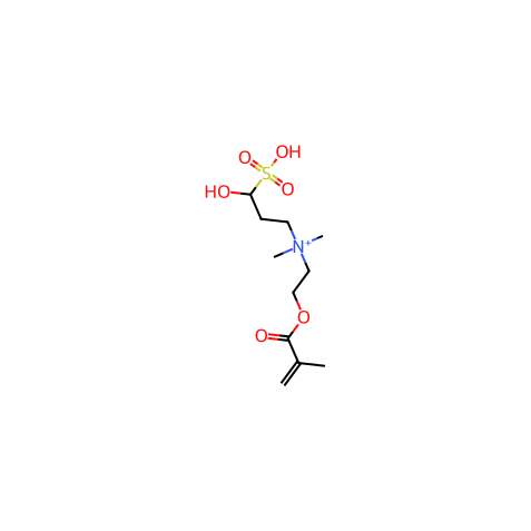 C=C(C)C(=O)OCC[N+](C)(C)CCC(O)S(=O)(=O)O